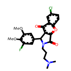 COc1cc(C2c3c(oc4ccc(Cl)cc4c3=O)C(=O)N2CCCN(C)C)cc(F)c1OC